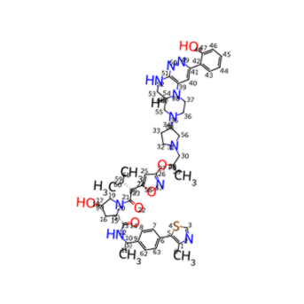 Cc1ncsc1-c1ccc([C@H](C)NC(=O)[C@@H]2C[C@@H](O)CN2C(=O)[C@@H](c2cc(O[C@H](C)CN3CC[C@@H](N4CCN5c6cc(-c7ccccc7O)nnc6NC[C@H]5C4)C3)no2)C(C)C)cc1